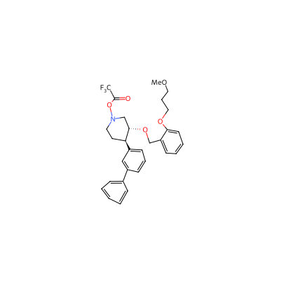 COCCCOc1ccccc1CO[C@H]1CN(OC(=O)C(F)(F)F)CC[C@@H]1c1cccc(-c2ccccc2)c1